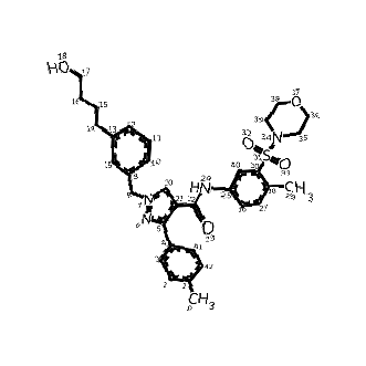 Cc1ccc(-c2nn(Cc3cccc(CCCCO)c3)cc2C(=O)Nc2ccc(C)c(S(=O)(=O)N3CCOCC3)c2)cc1